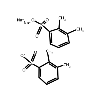 Cc1cccc(S(=O)(=O)[O-])c1C.Cc1cccc(S(=O)(=O)[O-])c1C.[Na+].[Na+]